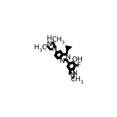 C[C@@H]1CN(c2ccc3nc(-c4cc5cn(C)nc5c(F)c4O)nc(C4CC4)c3c2)C[C@H](C)N1